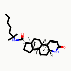 CCCCCC(C)(C)NC(=O)[C@H]1CC[C@H]2[C@@H]3CC[C@H]4NC(=O)C=C[C@]4(C)[C@H]3CC[C@]12C